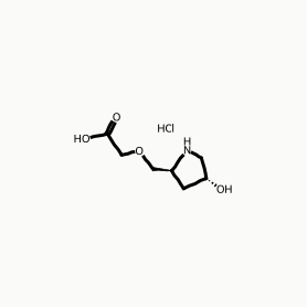 Cl.O=C(O)COC[C@@H]1C[C@@H](O)CN1